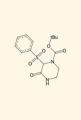 CC(C)(C)OC(=O)N1CCNC(=O)C1S(=O)(=O)c1ccccc1